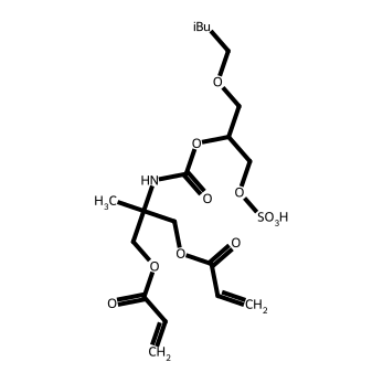 C=CC(=O)OCC(C)(COC(=O)C=C)NC(=O)OC(COCC(C)CC)COS(=O)(=O)O